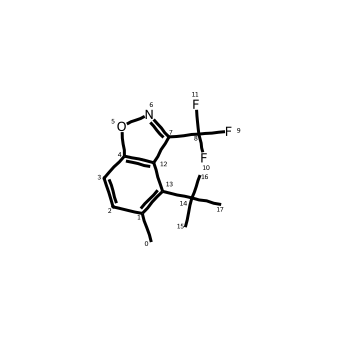 Cc1ccc2onc(C(F)(F)F)c2c1C(C)(C)C